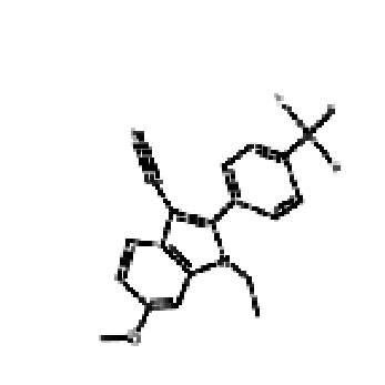 CCn1c(-c2ccc(C(F)(F)F)cc2)c(C#N)c2ccc(OC)cc21